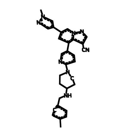 Cc1ccc(CNC2CCN(c3ccc(-c4cc(-c5cnn(C)c5)cn5ncc(C#N)c45)cn3)CC2)cc1